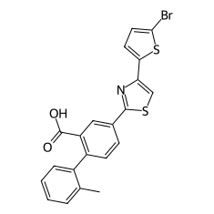 Cc1ccccc1-c1ccc(-c2nc(-c3ccc(Br)s3)cs2)cc1C(=O)O